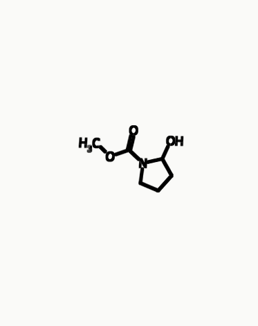 COC(=O)N1CCCC1O